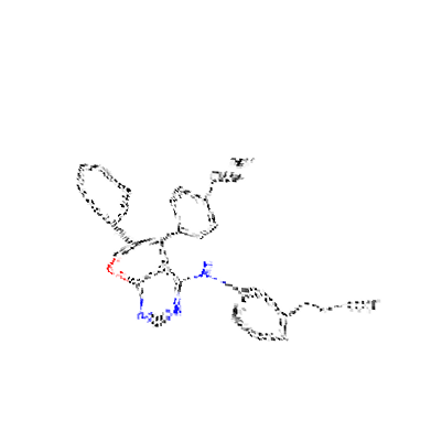 COc1ccc(-c2c(-c3ccccc3)oc3ncnc(Nc4cccc(CCC(=O)[O-])c4)c23)cc1.[Na+]